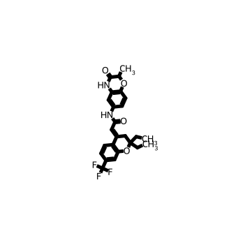 CCC1(CC)C/C(=C\C(=O)Nc2ccc3c(c2)NC(=O)C(C)O3)c2ccc(C(F)(F)F)cc2O1